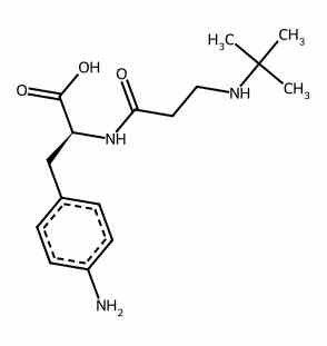 CC(C)(C)NCCC(=O)N[C@@H](Cc1ccc(N)cc1)C(=O)O